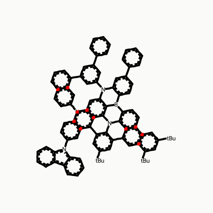 CC(C)(C)c1cc(-c2ccc3c(c2)N(c2c(-c4ccccc4)cc(C(C)(C)C)cc2-c2ccccc2)c2cc(N(c4ccccc4)c4ccc(-n5c6ccccc6c6ccccc65)cc4)cc4c2B3c2ccc(-c3ccccc3)cc2N4c2cc(-c3ccccc3)cc(-c3ccccc3)c2)cc(C(C)(C)C)c1